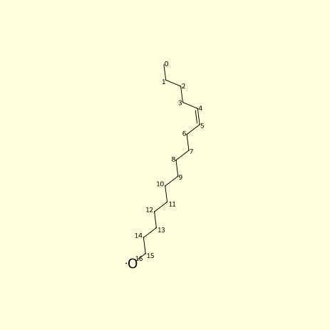 CCCC/C=C\CCCCCCCCCC[O]